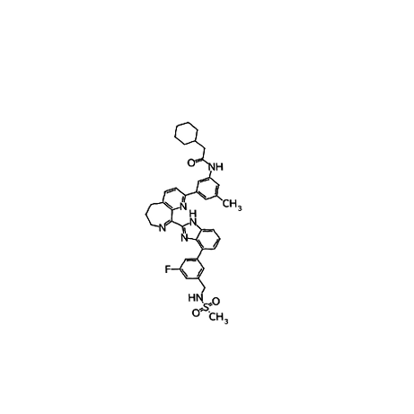 Cc1cc(NC(=O)CC2CCCCC2)cc(-c2ccc3c(n2)C(c2nc4c(-c5cc(F)cc(CNS(C)(=O)=O)c5)cccc4[nH]2)=NCCC3)c1